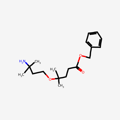 CC(C)(N)CCOC(C)(C)CCC(=O)OCc1ccccc1